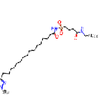 CCCCCCCCCCCNC(=O)CCCS(=O)(=O)NC(=O)CCCCCCCCCCCCCCCc1nnn(C(C)(C)C)n1